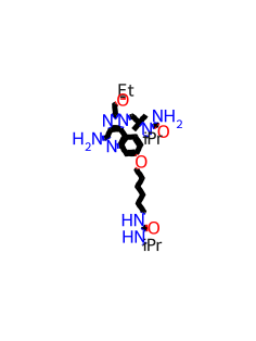 CCOCc1nc2c(N)nc3cc(OCCCCCCNC(=O)NC(C)C)ccc3c2n1CC(C)(C)N(C(N)=O)C(C)C